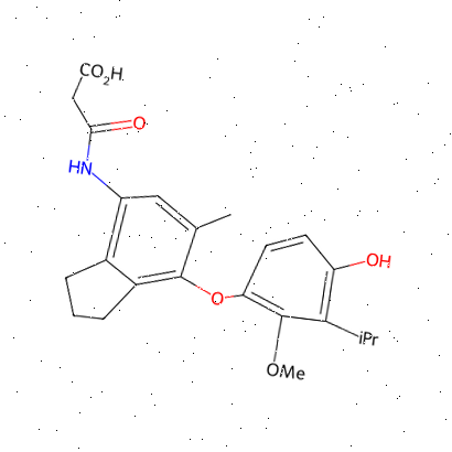 COc1c(Oc2c(C)cc(NC(=O)CC(=O)O)c3c2CCC3)ccc(O)c1C(C)C